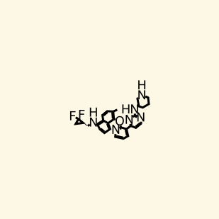 Cc1ccc2c(NC[C@@H]3CC3(F)F)cccc2c1Oc1ncccc1-c1ccnc(N[C@H]2CCCNC2)n1